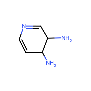 NC1C=CN=CC1N